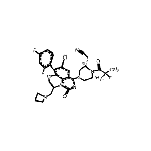 CC(C)(F)C(=O)N1CCN(c2nc(=O)n3c4c(c(-c5ccc(F)cc5F)c(Cl)cc24)OCC3CN2CCC2)C[C@@H]1CC#N